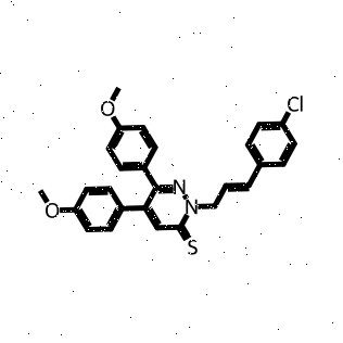 COc1ccc(-c2cc(=S)n(CC=Cc3ccc(Cl)cc3)nc2-c2ccc(OC)cc2)cc1